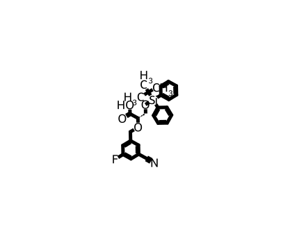 CC(C)(C)[Si](OC[C@H](OCc1cc(F)cc(C#N)c1)C(=O)O)(c1ccccc1)c1ccccc1